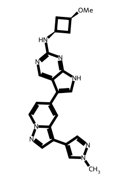 CO[C@H]1C[C@@H](Nc2ncc3c(-c4ccn5ncc(-c6cnn(C)c6)c5c4)c[nH]c3n2)C1